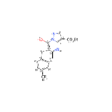 CCOC(=O)c1cnn2c(O)c(Cc3ccc(C(F)(F)F)cc3)c(C)nc12